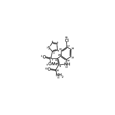 COP(=O)(c1cccs1)c1c(C(N)=O)[nH]c2ccc(Cl)cc12